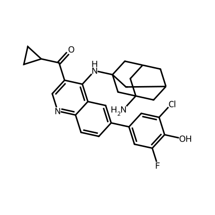 NC12CC3CC(C1)CC(Nc1c(C(=O)C4CC4)cnc4ccc(-c5cc(F)c(O)c(Cl)c5)cc14)(C3)C2